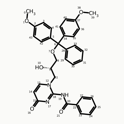 COc1ccc(C(OC[C@@H](O)Cn2ccc(=O)nc2NC(=O)c2ccccc2)(c2ccccc2)c2ccc(OC)cc2)cc1